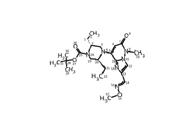 CC[C@@H]1CN(c2cc(=O)n(C)n3cc(C=NOC)nc23)[C@@H](CC)CN1C(=O)OC(C)(C)C